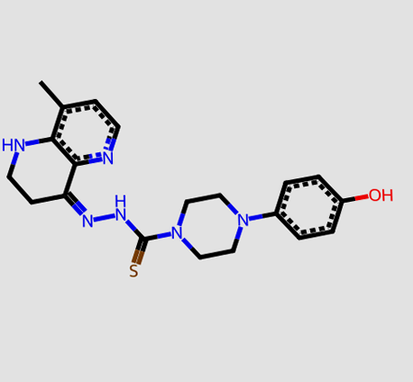 Cc1ccnc2c1NCC/C2=N/NC(=S)N1CCN(c2ccc(O)cc2)CC1